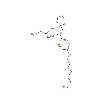 CCCCCCCOc1ccc(C(C#N)CC2(CCCCC)CCCCC2)cc1